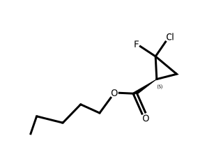 CCCCCOC(=O)[C@@H]1CC1(F)Cl